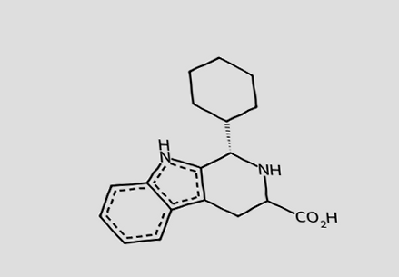 O=C(O)C1Cc2c([nH]c3ccccc23)[C@H](C2CCCCC2)N1